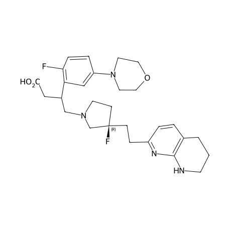 O=C(O)CC(CN1CC[C@](F)(CCc2ccc3c(n2)NCCC3)C1)c1cc(N2CCOCC2)ccc1F